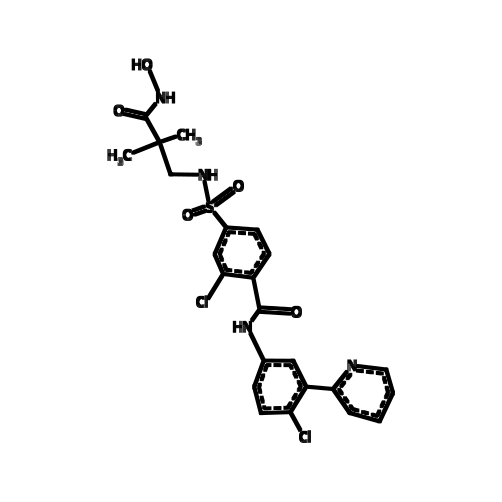 CC(C)(CNS(=O)(=O)c1ccc(C(=O)Nc2ccc(Cl)c(-c3ccccn3)c2)c(Cl)c1)C(=O)NO